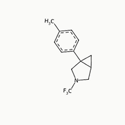 Cc1ccc(C23CC2CN(C(F)(F)F)C3)cc1